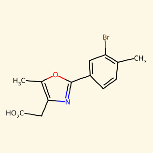 Cc1ccc(-c2nc(CC(=O)O)c(C)o2)cc1Br